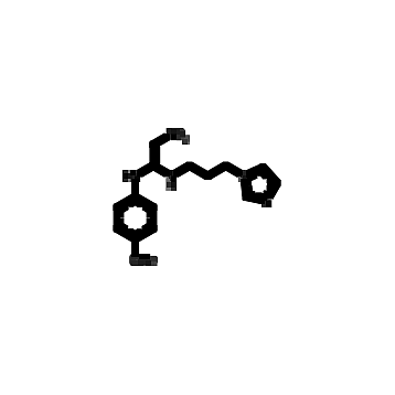 COc1ccc(NC(=C[N+](=O)[O-])NCCCn2ccnc2)cc1